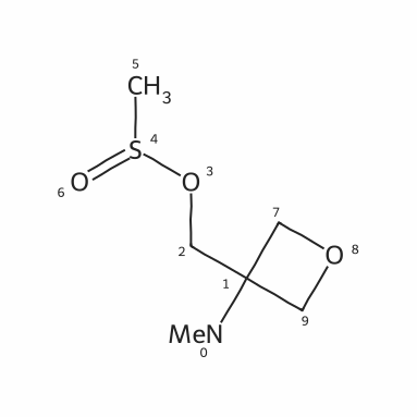 CNC1(COS(C)=O)COC1